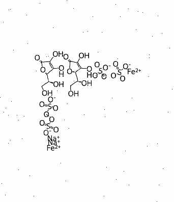 O=C1O[C@H]([C@@H](O)CO)C(O)=C1O.O=C1O[C@H]([C@@H](O)CO)C(O)=C1O.O=S(=O)([O-])OOS(=O)(=O)[O-].O=S(=O)([O-])[O-].O=S(=O)([O-])[O-].[Fe+2].[Fe+2].[Na+].[Na+]